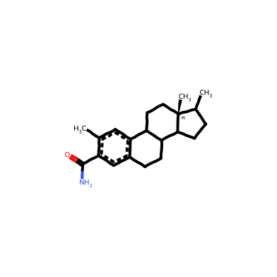 Cc1cc2c(cc1C(N)=O)CCC1C2CC[C@]2(C)C(C)CCC12